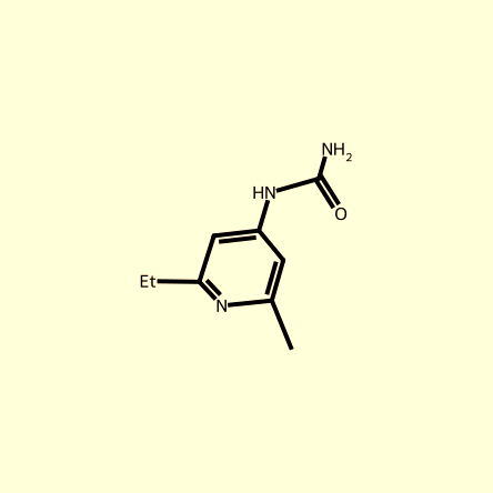 CCc1cc(NC(N)=O)cc(C)n1